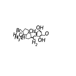 C=C1CC[C@H]2C(C)(C)[C@@H](Br)CC[C@]2(C)[C@@H]1Cc1cc(O)c(C=O)cc1O